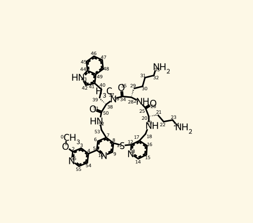 COc1cc(-c2cc3c(cn2)Sc2ncccc2CN[C@@H](CCCN)C(=O)N[C@@H](CCCCN)C(=O)N(C)[C@@H](CCc2c[nH]c4ccccc24)C(=O)NC3)ccn1